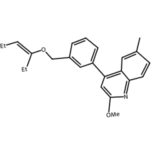 CC/C=C(\CC)OCc1cccc(-c2cc(OC)nc3ccc(C)cc23)c1